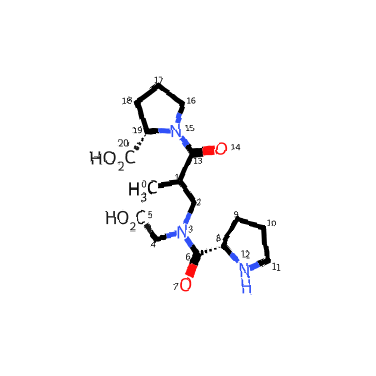 CC(CN(CC(=O)O)C(=O)[C@@H]1CCCN1)C(=O)N1CCC[C@H]1C(=O)O